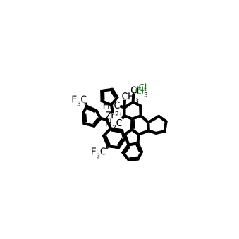 CC1CC2C(=C3Cc4ccccc4C3C3CCCCC23)[C](C)([Zr+2](=[C](c2cccc(C(F)(F)F)c2)c2cccc(C(F)(F)F)c2)[CH]2C=CC=C2)C1(C)C.[Cl-].[Cl-]